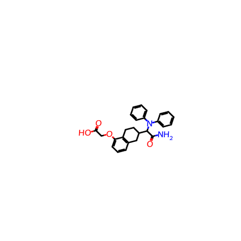 NC(=O)C(C1CCc2c(cccc2OCC(=O)O)C1)N(c1ccccc1)c1ccccc1